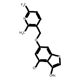 CC(=O)Oc1csc2cc(OCc3ccc(C(F)(F)F)nc3C)cc(Cl)c12